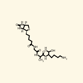 CC(NC(=O)CNC(=O)CCCC[C@@H]1SC[C@@H]2NC(=O)N[C@@H]21)C(=O)NC(CCCCN)C(O)O